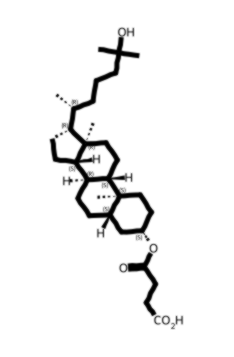 C[C@H](CCCC(C)(C)O)[C@H]1CC[C@H]2[C@@H]3CC[C@H]4C[C@@H](OC(=O)CCC(=O)O)CC[C@]4(C)[C@H]3CC[C@]12C